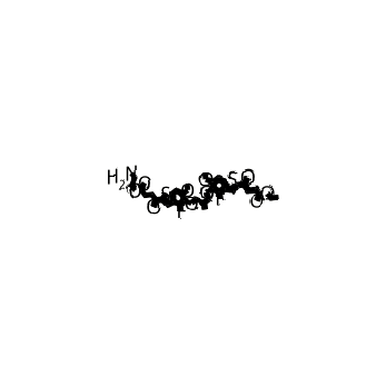 C=C(COc1c(OC)cc2sc(C(=O)CCC(=O)OCC)cc2c1F)COc1c(OC)cc2sc(C(=O)CCC(=O)O[C@@H](C)CN)cc2c1F